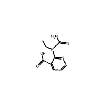 CCN(C(N)=O)c1ncccc1C(=O)O